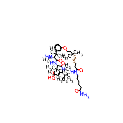 CN[C@H](C(=O)NC(C(=O)N(C)[C@H](/C=C(\C)C(=O)O)C(C)C)C(C)(C)C)C(C)(C)c1cccc(OCCC(C)(C)SSCCC(=O)NCCCCCC(N)=O)c1